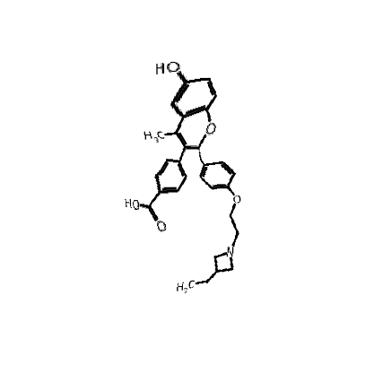 CCC1CN(CCOc2ccc([C@@H]3Oc4ccc(O)cc4C(C)=C3c3ccc(C(=O)O)cc3)cc2)C1